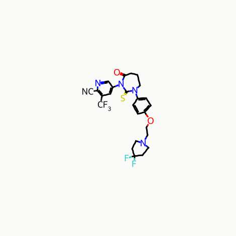 N#Cc1ncc(N2C(=O)CCCN(c3ccc(OCCN4CCC(F)(F)CC4)cc3)C2=S)cc1C(F)(F)F